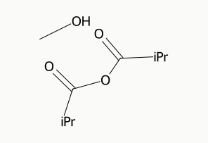 CC(C)C(=O)OC(=O)C(C)C.CO